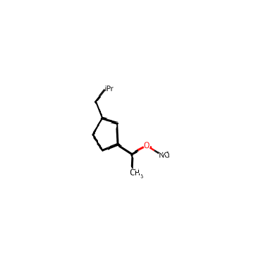 CC(C)CC1CCC(C(C)ON=O)C1